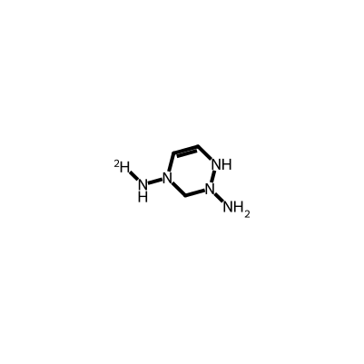 [2H]NN1C=CNN(N)C1